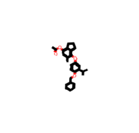 CC(=O)Oc1cc(C)c(Oc2ccc(OCc3ccccc3)c(C(C)C)c2)c2c1CCC2